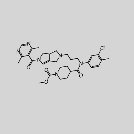 COC(=O)N1CCC(C(=O)N(CCCN2CC3=CN(C(=O)c4c(C)ncnc4C)CC3C2)c2ccc(C)c(Cl)c2)CC1